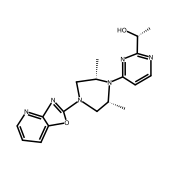 C[C@@H]1CN(c2nc3ncccc3o2)C[C@H](C)N1c1ccnc([C@@H](C)O)n1